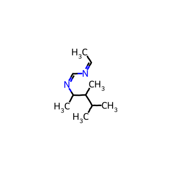 C/C=N\C=N/C(C)C(C)C(C)C